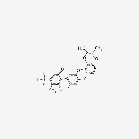 CC(=O)C(C)Oc1ccccc1Oc1cc(-n2c(=O)cc(C(F)(F)F)n(C)c2=O)c(F)cc1Cl